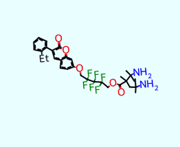 CCc1ccccc1-c1cc2ccc(OCC(F)(F)C(F)(F)C(F)(F)COC(=O)C(C)(CC(C)(C)N)C(C)(C)N)cc2oc1=O